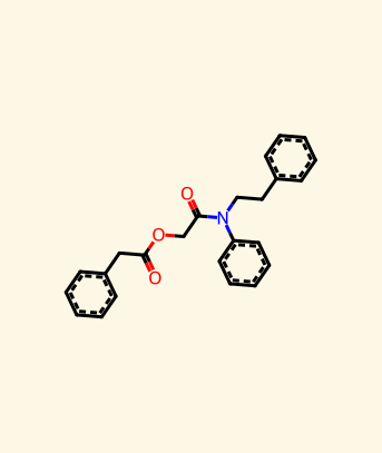 O=C(Cc1ccccc1)OCC(=O)N(CCc1ccccc1)c1ccccc1